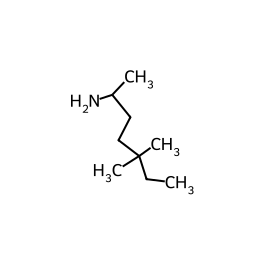 CCC(C)(C)CCC(C)N